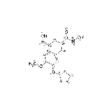 COc1cc2c(cc1OC1CCCC1)CC(C(=O)NO)C/C2=N\O